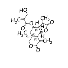 C=C[C@@]12COC(=O)C(=C)[C@@H]1[C@H]1OC(=O)C(=C)[C@@H]1[C@@H](OC(=O)C(=C)CO)C2